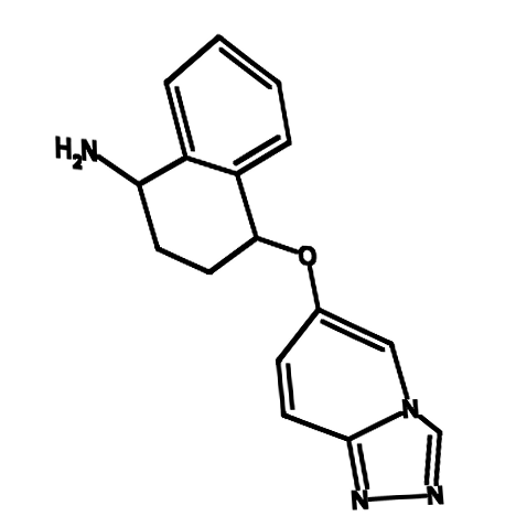 NC1CCC(Oc2ccc3nncn3c2)c2ccccc21